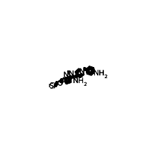 C[Si](C)(C)CCOCn1ccc2c(C(N)C3CCN(Cc4ccc(N)cc4)CC3)ncnc21